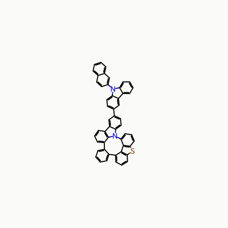 c1ccc2cc(-n3c4ccccc4c4cc(-c5ccc6c(c5)c5cccc7c8ccccc8c8cccc9sc%10cccc(c%10c98)n6c75)ccc43)ccc2c1